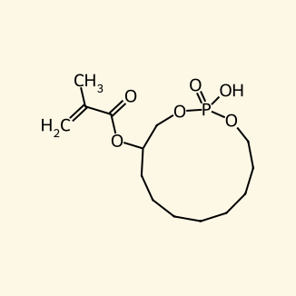 C=C(C)C(=O)OC1CCCCCCCCOP(=O)(O)OC1